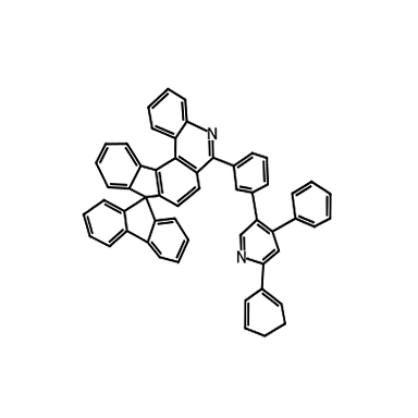 C1=CC(c2cc(-c3ccccc3)c(-c3cccc(-c4nc5ccccc5c5c6c(ccc45)C4(c5ccccc5-c5ccccc54)c4ccccc4-6)c3)cn2)=CCC1